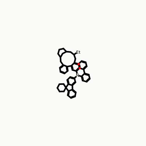 CCC1Cc2ccc(N(c3ccc4c(c3)-c3ccccc3C43CCCCC3)c3ccccc3-c3ccccc3)cc2-c2ccccc2CC2CCCC(C1)C2